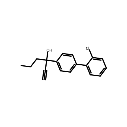 C#CC(O)(CCC)c1ccc(-c2ccccc2Cl)cc1